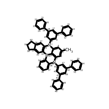 Cc1cc2c3c(c1)N(c1cc(-c4ccccc4)cc(-c4ccccc4)c1)c1cc4c(cc1B3c1ccccc1N2c1cc(-c2ccccc2)cc(-c2ccccc2)c1)CCC4